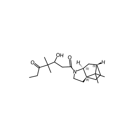 CCC(=O)C(C)(C)C(O)CC(=O)N1CC[C@@]23CC[C@@H](C[C@H]12)C3(C)C